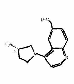 COc1ccc2nccc(N3CC[C@H](N)C3)c2c1